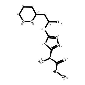 CNC(=O)N(C)c1nnc(SC(C)CC2CCCOO2)s1